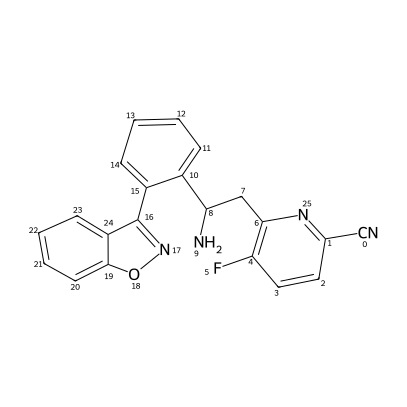 N#Cc1ccc(F)c(CC(N)c2ccccc2-c2noc3ccccc23)n1